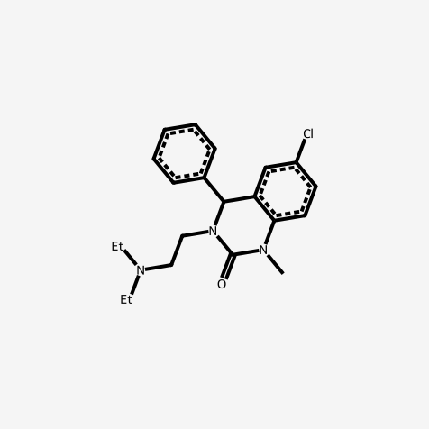 CCN(CC)CCN1C(=O)N(C)c2ccc(Cl)cc2C1c1ccccc1